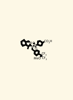 COC(c1ccc(CN(c2ncc3ccccc3c2C)S(=O)(=O)c2ccc(C(=O)O)cc2)cc1)(C(F)(F)F)C(F)(F)F